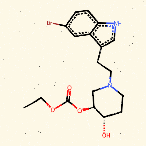 CCOC(=O)O[C@H]1CN(CCc2c[nH]c3ccc(Br)cc23)CC[C@@H]1O